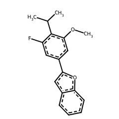 COc1cc(-c2cc3ccccc3o2)cc(F)c1C(C)C